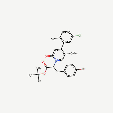 CCC(C)(C)OC(=O)C(Cc1ccc(Br)cc1)n1cc(OC)c(-c2cc(Cl)ccc2C(C)=O)cc1=O